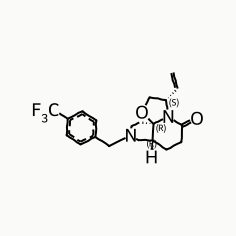 C=C[C@H]1CO[C@]23CCN(Cc4ccc(C(F)(F)F)cc4)C[C@H]2CCC(=O)N13